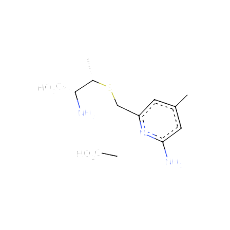 CC(=O)O.Cc1cc(N)nc(CS[C@@H](C)[C@H](N)C(=O)O)c1